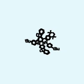 CC(C)(C)c1ccc(N2B3c4cc5c(cc4-n4c6ccc(C(C)(C)C)cc6c6c7oc8ccccc8c7c(c3c64)-c3cc4c(cc32)C(C)(C)CCC4(C)C)oc2ccccc25)cc1